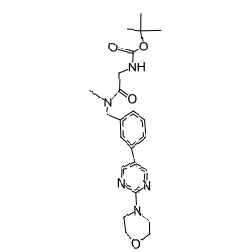 CN(Cc1cccc(-c2cnc(N3CCOCC3)nc2)c1)C(=O)CNC(=O)OC(C)(C)C